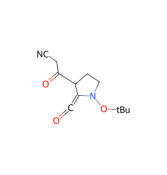 CC(C)(C)ON1CCC(C(=O)CC#N)C1=C=O